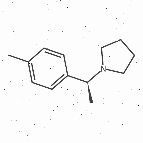 Cc1ccc([C@H](C)N2CCCC2)cc1